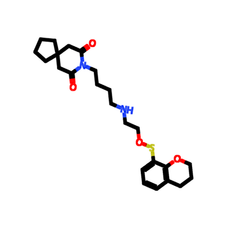 O=C1CC2(CCCC2)CC(=O)N1CCCCNCCOSc1cccc2c1OCCC2